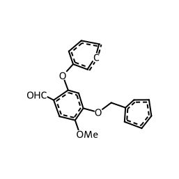 COc1cc(C=O)c(Oc2ccccc2)cc1OCc1ccccc1